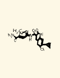 C[C@H](Nc1cc(C(N)=O)n(C)n1)c1cc2cc(Cl)c(C3CC3)cc2[nH]c1=O